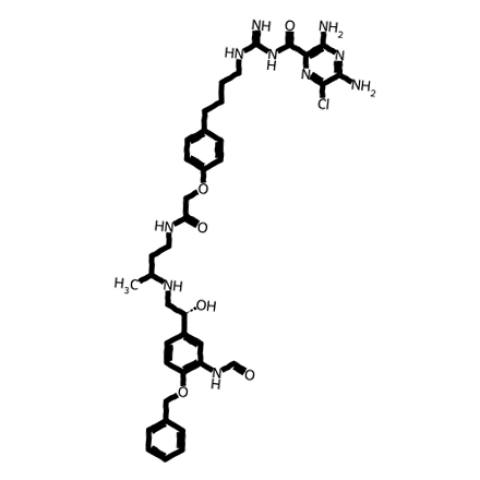 CC(CCNC(=O)COc1ccc(CCCCNC(=N)NC(=O)c2nc(Cl)c(N)nc2N)cc1)NC[C@H](O)c1ccc(OCc2ccccc2)c(NC=O)c1